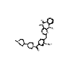 CCN1c2ccccc2C(=O)N(C)c2cnc(Cc3ccc(C(=O)N4CCN(C5CCN(C)CC5)CC4)cc3OC)nc21